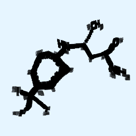 C[C@H](CC(N)=O)Nc1ccc(C(F)(F)F)cc1